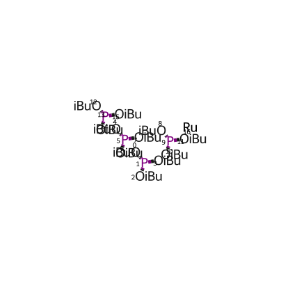 CC(C)COP(OCC(C)C)OCC(C)C.CC(C)COP(OCC(C)C)OCC(C)C.CC(C)COP(OCC(C)C)OCC(C)C.CC(C)COP(OCC(C)C)OCC(C)C.[Ru]